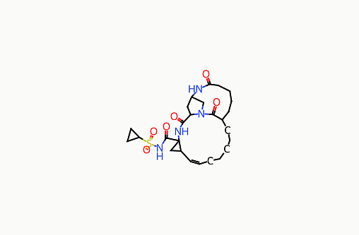 O=C1CCCCC2CCCCC/C=C\C3CC3(C(=O)NS(=O)(=O)C3CC3)NC(=O)C3CC(CN3C2=O)N1